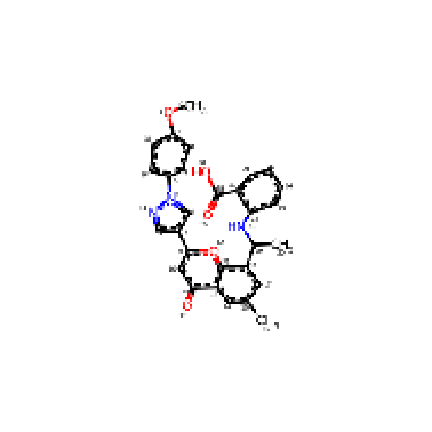 COc1ccc(-n2cc(-c3cc(=O)c4cc(C)cc(C(C)Nc5ccccc5C(=O)O)c4o3)cn2)cc1